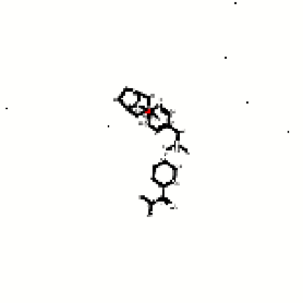 CC(C)C(=O)[C@H]1CC[C@H](CN(C)Cc2cnc(N3C4CCC3CN(C)C4)nc2)CC1